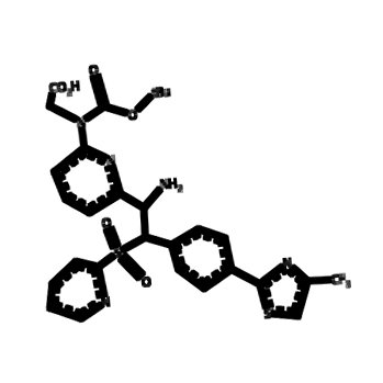 CC(C)(C)OC(=O)N(CC(=O)O)c1cccc(C(N)C(c2ccc(-c3nc(C(F)(F)F)cs3)cc2)S(=O)(=O)c2ccccn2)n1